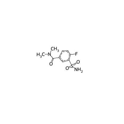 CN(C)C(=O)c1ccc(F)c(S(N)(=O)=O)c1